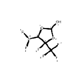 OC1OC(N(F)F)C(F)(C(F)(F)F)O1